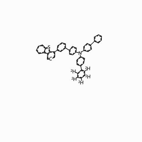 [2H]c1c([2H])c([2H])c(-c2ccc(N(c3ccc(-c4ccccc4)cc3)c3ccc(-c4cccc(-c5cccc6c5sc5ccccc56)c4)cc3)cc2)c([2H])c1[2H]